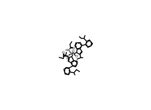 CCC(=O)N[B](NC(=O)CC)[Zr]([Cl])([Cl])([CH]1C(C(C)C)=Cc2c(-c3ccccc3C(C)CC)cccc21)[CH]1C(C(C)C)=Cc2c(-c3ccccc3C(C)CC)cccc21